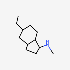 CCC1CCC2C(CCC2NC)C1